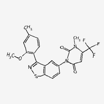 COc1cc(C)ccc1-c1nsc2ccc(-n3c(=O)cc(C(F)(F)F)n(C)c3=O)cc12